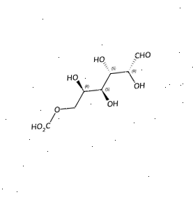 O=C[C@H](O)[C@@H](O)[C@@H](O)[C@H](O)COC(=O)O